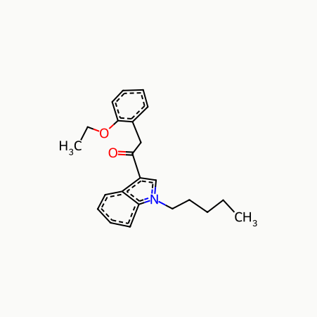 CCCCCn1cc(C(=O)Cc2ccccc2OCC)c2ccccc21